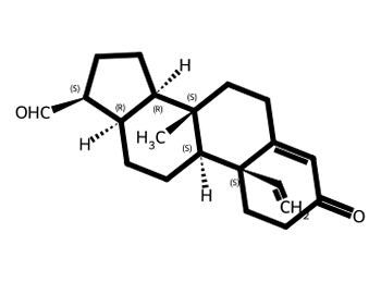 C=C[C@]12CCC(=O)C=C1CC[C@@]1(C)[C@@H]3CC[C@H](C=O)[C@@H]3CC[C@@H]12